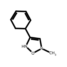 CN1C=C(C2C=CC=CC2)NO1